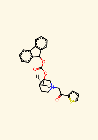 O=C(OC1c2ccccc2-c2ccccc21)O[C@H]1C[N+]2(CC(=O)c3cccs3)CCC1CC2